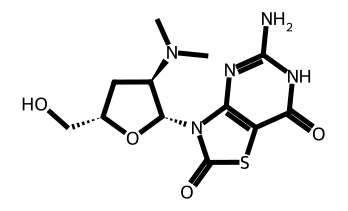 CN(C)[C@@H]1C[C@@H](CO)O[C@H]1n1c(=O)sc2c(=O)[nH]c(N)nc21